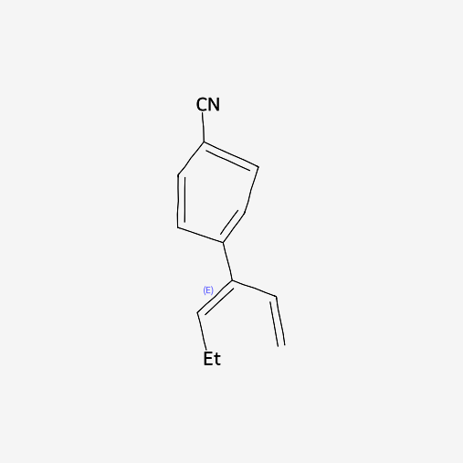 C=C/C(=C\CC)c1ccc(C#N)cc1